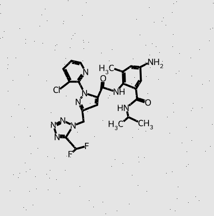 Cc1cc(N)cc(C(=O)NC(C)C)c1NC(=O)c1cc(Cn2nnnc2C(F)F)nn1-c1ncccc1Cl